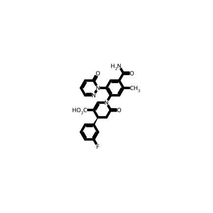 Cc1cc(N2C=C(C(=O)O)[C@H](c3cccc(F)c3)CC2=O)c(-n2ncccc2=O)cc1C(N)=O